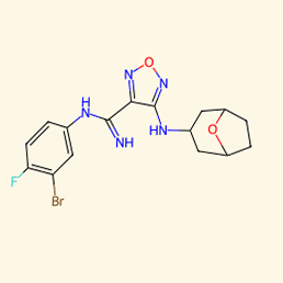 N=C(Nc1ccc(F)c(Br)c1)c1nonc1NC1CC2CCC(C1)O2